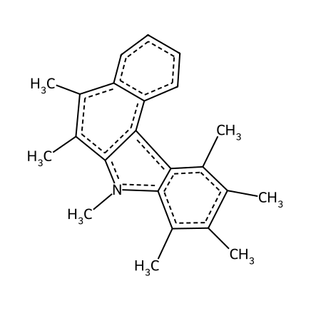 Cc1c(C)c(C)c2c(c1C)c1c3ccccc3c(C)c(C)c1n2C